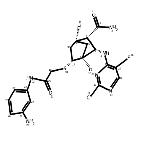 NC(=O)[C@H]1[C@H]2C[C@@H]([C@H]1Nc1nc(Cl)ncc1F)[C@H](SCC(=O)Nc1cccc(N)c1)C2